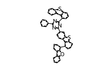 c1ccc(-c2nc(-c3ccc4c(c3)sc3cccc(-c5cccc6c5oc5ccccc56)c34)nc(-c3cccc4sc5ccccc5c34)n2)cc1